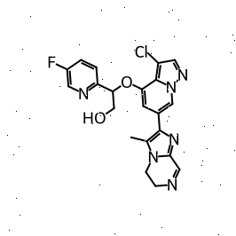 Cc1c(-c2cc(OC(CO)c3ccc(F)cn3)c3c(Cl)cnn3c2)nc2n1CCN=C2